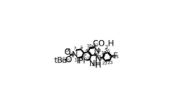 CC(C)C(=N)c1c(C2CCN(C(=O)OC(C)(C)C)CC2)cc(C(=O)O)nc1Nc1ccc(F)cc1